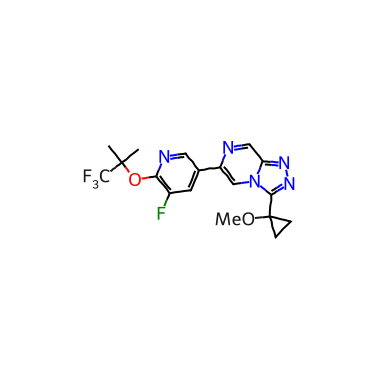 COC1(c2nnc3cnc(-c4cnc(OC(C)(C)C(F)(F)F)c(F)c4)cn23)CC1